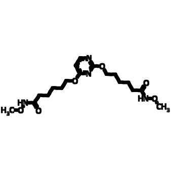 CONC(=O)CCCCCOc1ccnc(OCCCCCC(=O)NOC)n1